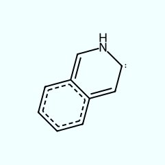 [C]1C=c2ccccc2=CN1